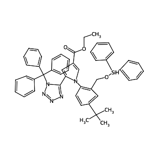 CCOC(=O)c1cc(-c2nnnn2C(c2ccccc2)(c2ccccc2)c2ccccc2)n(-c2ccc(C(C)(C)C)cc2CO[SiH](c2ccccc2)c2ccccc2)c1